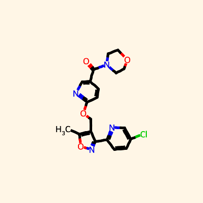 Cc1onc(-c2ccc(Cl)cn2)c1COc1ccc(C(=O)N2CCOCC2)cn1